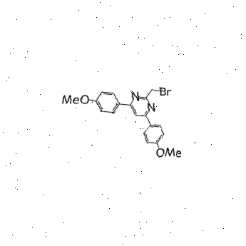 COc1ccc(-c2cc(-c3ccc(OC)cc3)nc(CBr)n2)cc1